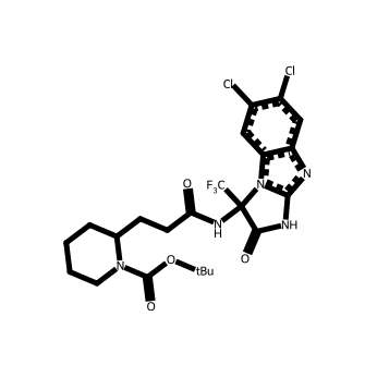 CC(C)(C)OC(=O)N1CCCCC1CCC(=O)NC1(C(F)(F)F)C(=O)Nc2nc3cc(Cl)c(Cl)cc3n21